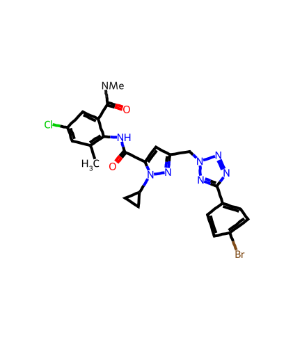 CNC(=O)c1cc(Cl)cc(C)c1NC(=O)c1cc(Cn2nnc(-c3ccc(Br)cc3)n2)nn1C1CC1